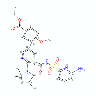 CCOC(=O)c1ccc(OC)c(-c2cnc(N3CC(C)CC3(C)C)c(C(=O)NS(=O)(=O)c3cccc(N)n3)c2)c1